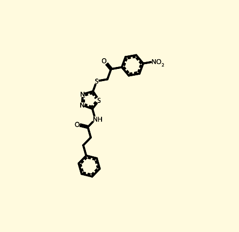 O=C(CCc1ccccc1)Nc1nnc(SCC(=O)c2ccc([N+](=O)[O-])cc2)s1